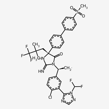 [CH2][C@@H](c1ccc(Cl)c(-c2ncnn2C(F)F)c1)N1C(=N)N[C@](CC(C)(C)C(F)(F)F)(c2ccc(-c3ccc(S(C)(=O)=O)cc3)cc2)C1=O